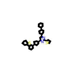 c1ccc(-c2ccc(-c3cc(-c4ccc(-c5cccc6c5sc5ccccc56)cc4)nc(-c4cccs4)n3)cc2)cc1